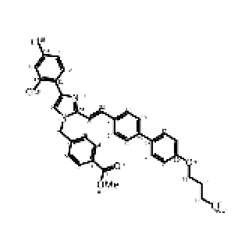 COC(=O)c1ccc(Cn2cc(-c3ccc(Cl)cc3Cl)nc2C=Cc2ccc(-c3ccc(OCCCC(F)(F)F)cc3)cc2)cc1